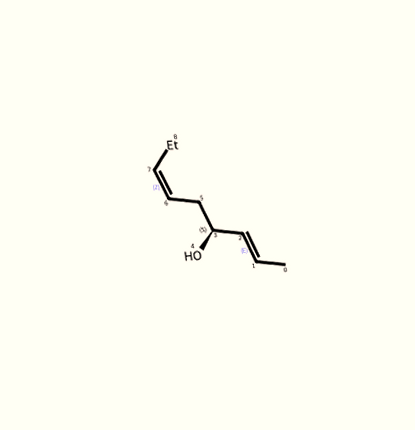 C/C=C/[C@@H](O)C/C=C\CC